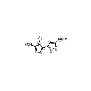 CNc1cc(-c2ncc([N+](=O)[O-])n2C)no1